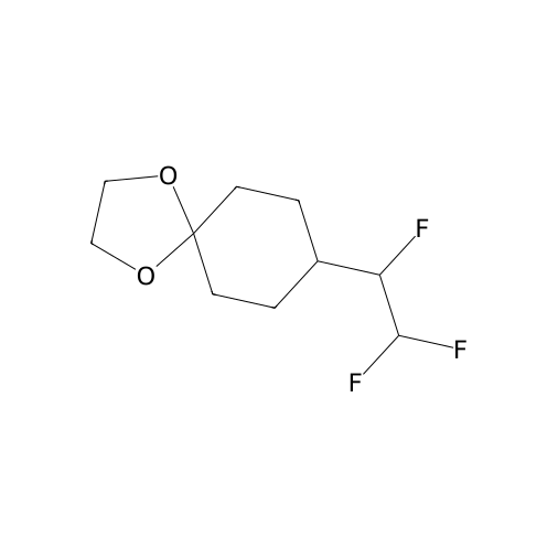 FC(F)C(F)C1CCC2(CC1)OCCO2